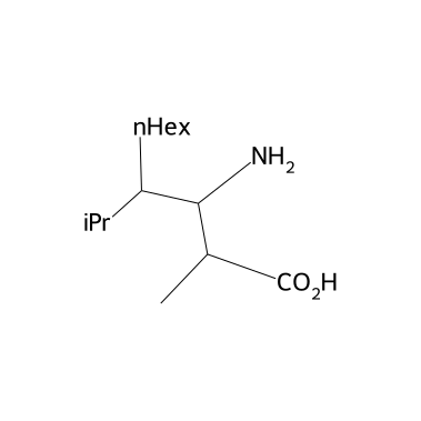 CCCCCCC(C(C)C)C(N)C(C)C(=O)O